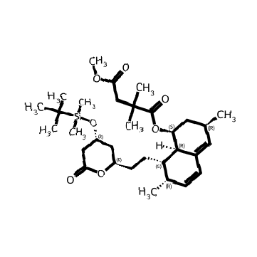 COC(=O)CC(C)(C)C(=O)O[C@H]1C[C@@H](C)C=C2C=C[C@H](C)[C@H](CC[C@@H]3C[C@@H](O[Si](C)(C)C(C)(C)C)CC(=O)O3)[C@H]21